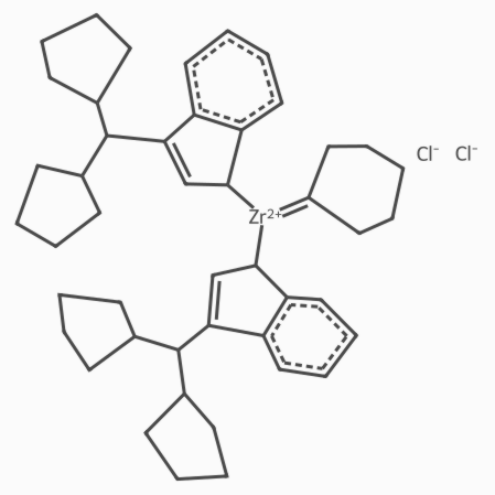 C1=C(C(C2CCCC2)C2CCCC2)c2ccccc2[CH]1[Zr+2](=[C]1CCCCC1)[CH]1C=C(C(C2CCCC2)C2CCCC2)c2ccccc21.[Cl-].[Cl-]